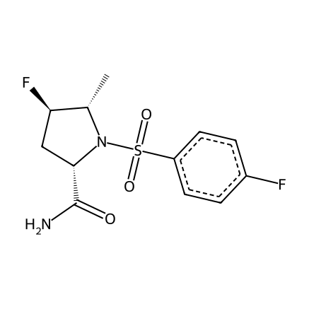 C[C@H]1[C@H](F)C[C@@H](C(N)=O)N1S(=O)(=O)c1ccc(F)cc1